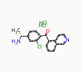 C[C@@H](N)c1ccc(C(=O)c2cccc3cnccc23)c(Cl)c1.Cl.Cl